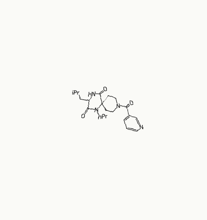 CCCN1C(=O)C(CC(C)C)NC(=O)C12CCN(C(=O)c1cccnc1)CC2